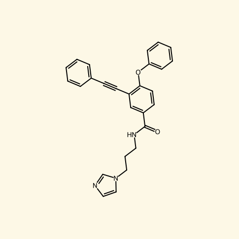 O=C(NCCCn1ccnc1)c1ccc(Oc2ccccc2)c(C#Cc2ccccc2)c1